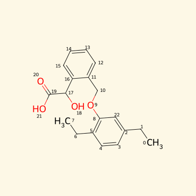 CCc1ccc(CC)c(OCc2ccccc2C(O)C(=O)O)c1